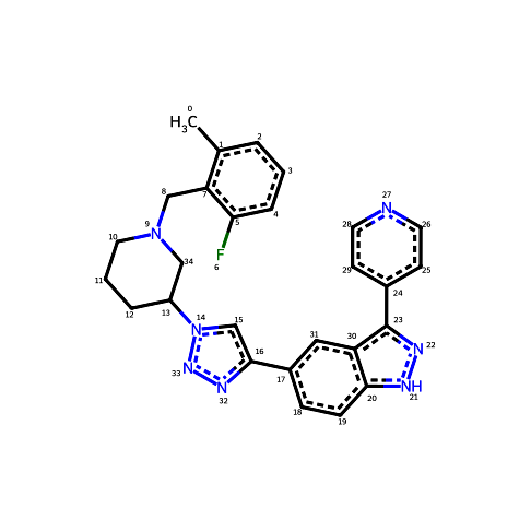 Cc1cccc(F)c1CN1CCCC(n2cc(-c3ccc4[nH]nc(-c5ccncc5)c4c3)nn2)C1